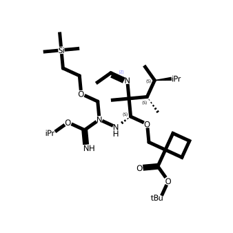 C/C=N\C(C)([C@@H](NN(COCC[Si](C)(C)C)C(=N)OC(C)C)OCC1(C(=O)OC(C)(C)C)CCC1)[C@@H](C)[C@@H](C)C(C)C